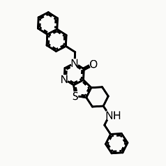 O=c1c2c3c(sc2ncn1Cc1ccc2ccccc2c1)CC(NCc1ccccc1)CC3